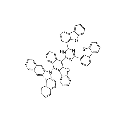 c1ccc2cc3c(cc2c1)c1c2ccccc2ccc1n3-c1c2ccccc2c(C2=NC(c3cccc4c3sc3ccccc34)=NC(c3cccc4c3oc3ccccc34)N2)c2oc3ccccc3c12